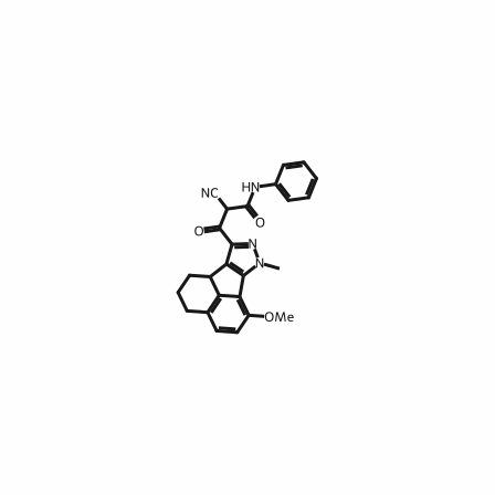 COc1ccc2c3c1-c1c(c(C(=O)C(C#N)C(=O)Nc4ccccc4)nn1C)C3CCC2